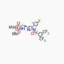 COC(=O)[C@H](NC(=O)OC(C)(C)C)[C@H](C)C#Cc1cc(-c2ccc(F)cc2C)c(N(C)C(=O)C(C)(C)c2cc(C(F)(F)F)cc(C(F)(F)F)c2)cn1